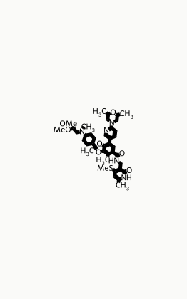 COC(CN(C)C1CCC(C2(C)Oc3c(-c4ccc(N5CC(C)OC(C)C5)nc4)cc(C(=O)NCc4c(SC)cc(C)[nH]c4=O)c(C)c3O2)CC1)OC